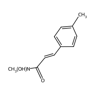 Cc1ccc(C=CC(=O)N(C)O)cc1